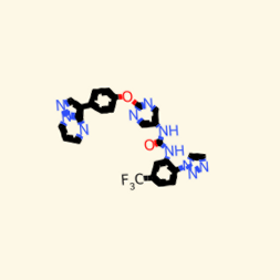 O=C(Nc1cnc(Oc2ccc(-c3cnn4cccnc34)cc2)nc1)Nc1cc(C(F)(F)F)ccc1-n1ccnn1